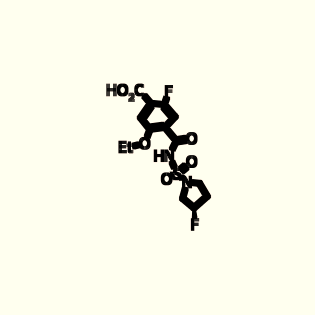 CCOc1cc(C(=O)O)c(F)cc1C(=O)NS(=O)(=O)N1CC[C@@H](F)C1